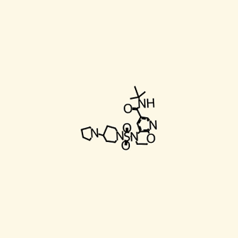 CC(C)(C)NC(=O)c1cnc2c(c1)N(S(=O)(=O)N1CCC(N3CCCC3)CC1)CCO2